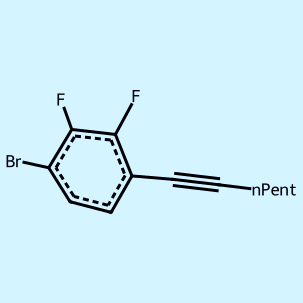 CCCCCC#Cc1ccc(Br)c(F)c1F